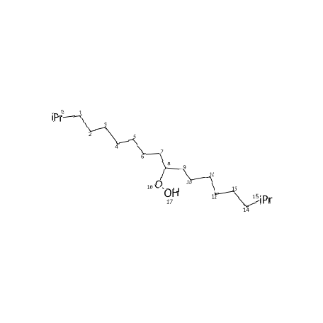 CC(C)CCCCCCCC(CCCCCCC(C)C)OO